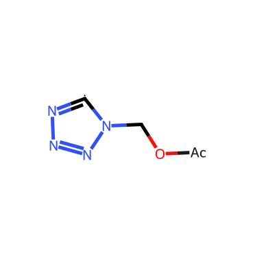 CC(=O)OCn1[c]nnn1